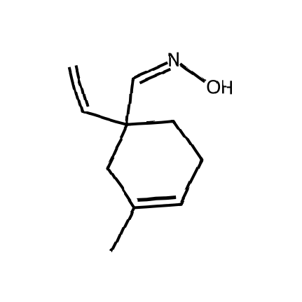 C=CC1(/C=N\O)CCC=C(C)C1